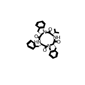 CC(C)[C@@H]1NC(=O)[C@H](Cc2ccccc2)N(C)C(=O)[C@H](Cc2ccccc2)NC(=O)[C@H](Cc2ccccc2)N(C)C1=O